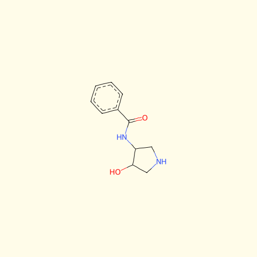 O=C(NC1CNCC1O)c1ccccc1